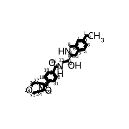 CCc1ccc2c(c1)CN[C@H](C(O)CNC(=O)c1ccc(C(=O)N3C4CCC3COC4)cc1)C2